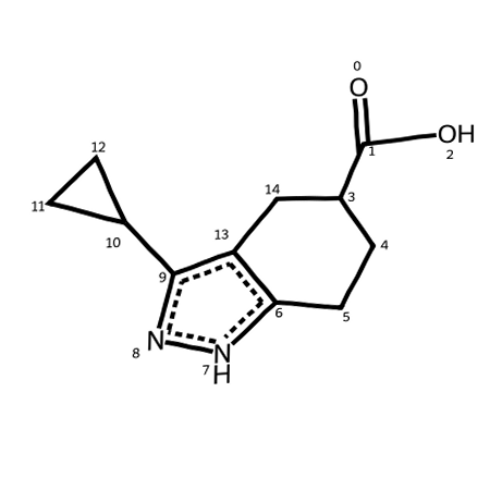 O=C(O)C1CCc2[nH]nc(C3CC3)c2C1